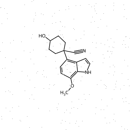 COc1ccc(C2(C#N)CCC(O)CC2)c2cc[nH]c12